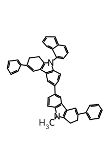 Cn1c2c(c3cc(-c4ccc5c(c4)c4c(n5-c5cccc6ccccc56)CCC(c5ccccc5)=C4)ccc31)C=C(c1ccccc1)CC2